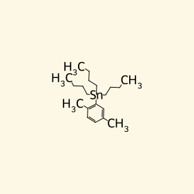 CCC[CH2][Sn]([CH2]CCC)([CH2]CCC)[c]1cc(C)ccc1C